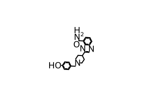 NC(=O)c1cccc2ncc(C3CCN(Cc4ccc(O)cc4)CC3)nc12